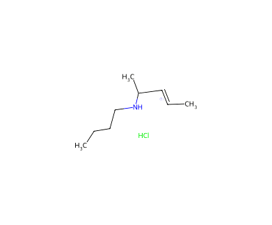 C/C=C/C(C)NCCCC.Cl